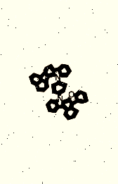 c1cc2c3c(cccc3c1)-c1c-2ccc2c3ccccc3n(-c3ccc(-n4c5ccccc5c5c6ccccc6c6c7ccccc7oc6c54)cc3)c12